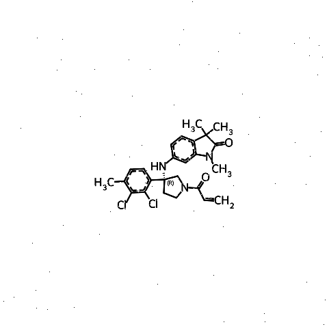 C=CC(=O)N1CC[C@@](Nc2ccc3c(c2)N(C)C(=O)C3(C)C)(c2ccc(C)c(Cl)c2Cl)C1